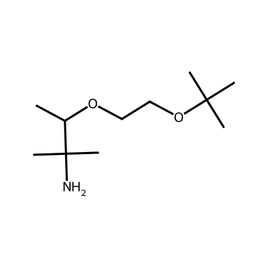 CC(OCCOC(C)(C)C)C(C)(C)N